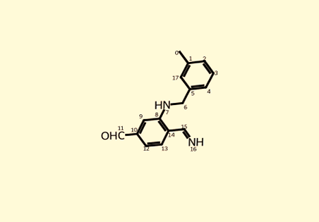 Cc1cccc(CNc2cc(C=O)ccc2C=N)c1